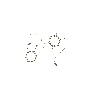 C=CCOc1c([Si](C)(C)C2C(N(C)C)=Cc3ccccc32)cc(C)c([SiH](C)C)c1C(C)(C)C